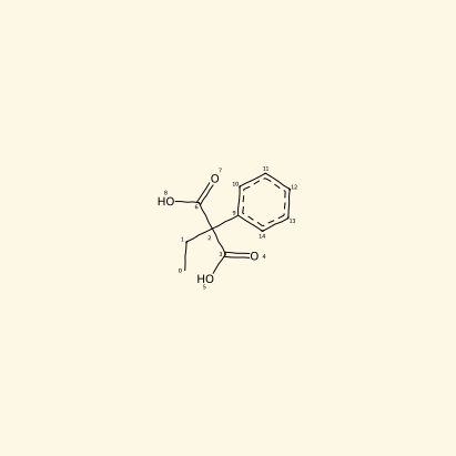 CCC(C(=O)O)(C(=O)O)c1ccccc1